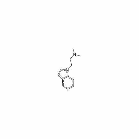 CN(C)CCn1ccc2c[c]ccc21